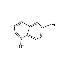 CC(C)c1ccc2c(ccc[n+]2[O-])c1